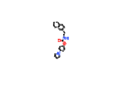 O=C(NCCc1ccc2ccccc2c1)Oc1ccc(-n2cccc2)cc1